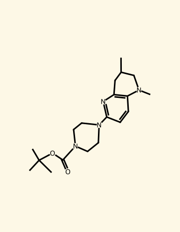 CC1Cc2nc(N3CCN(C(=O)OC(C)(C)C)CC3)ccc2N(C)C1